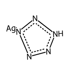 [Ag].n1nn[nH]n1